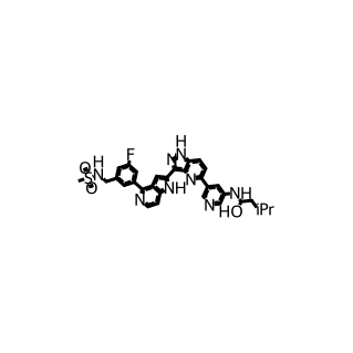 CC(C)CC(O)Nc1cncc(-c2ccc3[nH]nc(-c4cc5c(-c6cc(F)cc(CNS(C)(=O)=O)c6)nccc5[nH]4)c3n2)c1